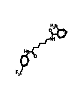 Nc1ccccc1C(=O)NCCCCCC(=O)Nc1ccc(C(F)(F)F)cc1